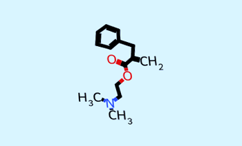 C=C(Cc1ccccc1)C(=O)OCCN(C)C